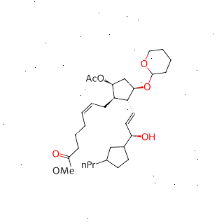 CCCC1CCC([C@H](O)/C=C/[C@@H]2[C@@H](C/C=C\CCCC(=O)OC)[C@@H](OC(C)=O)C[C@H]2OC2CCCCO2)C1